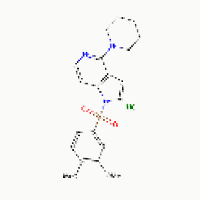 COc1ccc(S(=O)(=O)n2ccc3c(N4CCCCC4)nccc32)cc1OC.Cl